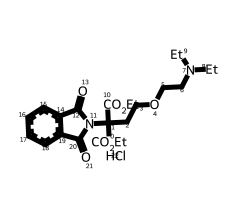 CCOC(=O)C(CCOCCN(CC)CC)(C(=O)OCC)N1C(=O)c2ccccc2C1=O.Cl